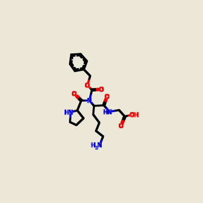 NCCCCC(C(=O)NCC(=O)O)N(C(=O)OCc1ccccc1)C(=O)C1CCCN1